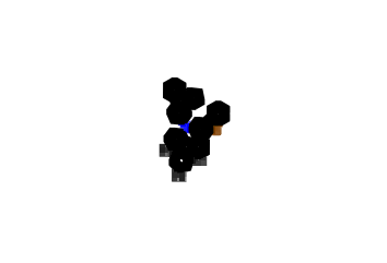 CCC1CC(CC)C2(c3ccccc3-c3c(N(c4ccc5c(c4)C4(CCCC4)c4ccccc4-5)c4ccc5sc6ccccc6c5c4)cccc32)C(CC)C1